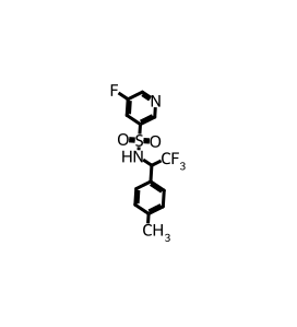 Cc1ccc(C(NS(=O)(=O)c2cncc(F)c2)C(F)(F)F)cc1